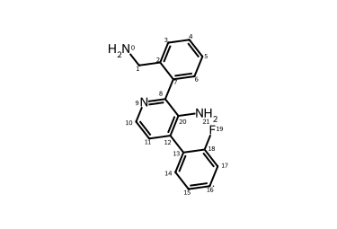 NCc1ccccc1-c1nccc(-c2cc[c]cc2F)c1N